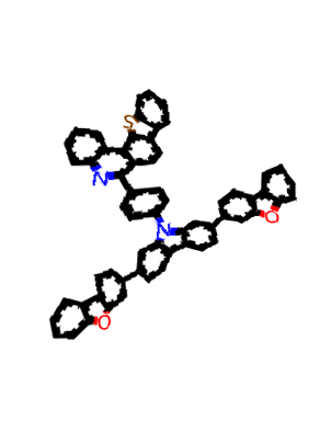 c1ccc2c(c1)nc(-c1ccc(-n3c4cc(-c5ccc6c(c5)oc5ccccc56)ccc4c4ccc(-c5ccc6c(c5)oc5ccccc56)cc43)cc1)c1ccc3c4ccccc4sc3c12